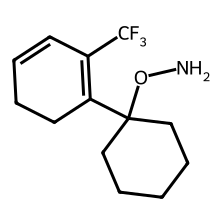 NOC1(C2=C(C(F)(F)F)C=CCC2)CCCCC1